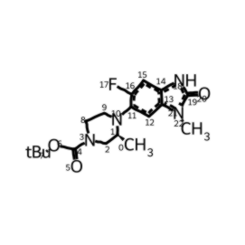 C[C@H]1CN(C(=O)OC(C)(C)C)CCN1c1cc2c(cc1F)[nH]c(=O)n2C